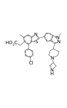 Cc1cc2nc(-c3ccc4c(c3)c(C3CCN(C5CNC5)CC3)nn4C)sc2c(-c2ccc(Cl)cc2)c1CC(=O)O